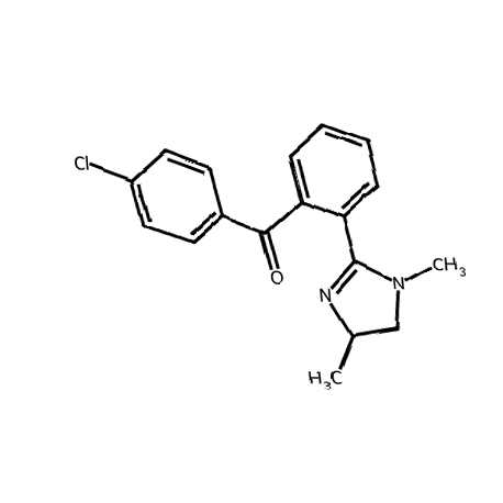 CC1CN(C)C(c2ccccc2C(=O)c2ccc(Cl)cc2)=N1